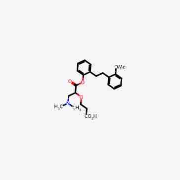 COc1ccccc1CCc1ccccc1OC(=O)C(CN(C)C)OCCC(=O)O